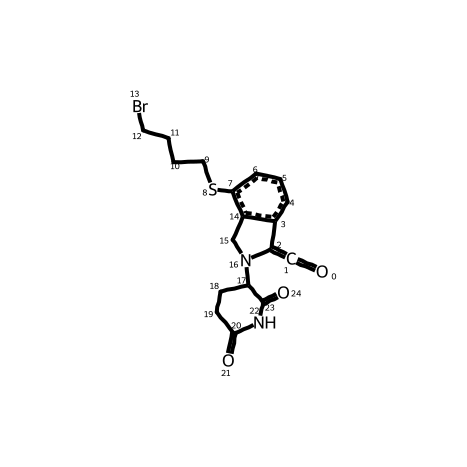 O=C=C1c2cccc(SCCCCBr)c2CN1C1CCC(=O)NC1=O